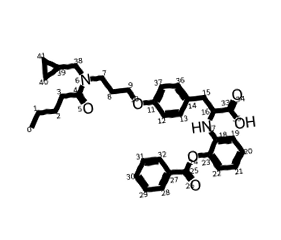 CCCCC(=O)N(CCCOc1ccc(CC(Nc2ccccc2OC(=O)c2ccccc2)C(=O)O)cc1)CC1CC1